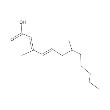 CCCCCC(C)CC=CC(C)=CC(=O)O